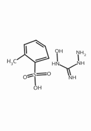 Cc1ccccc1S(=O)(=O)O.N=C(NN)NO